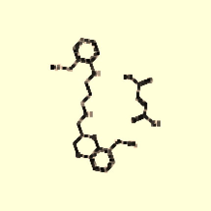 COc1ccccc1NCCCNCC1COc2cccc(OC)c2O1.O=C(O)C=CC(=O)O